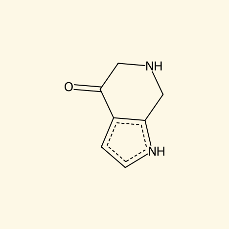 O=C1CNCc2[nH]ccc21